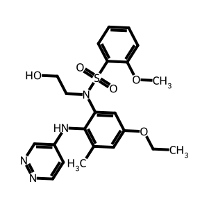 CCOc1cc(C)c(Nc2ccnnc2)c(N(CCO)S(=O)(=O)c2ccccc2OC)c1